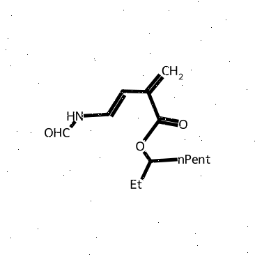 C=C(C=CNC=O)C(=O)OC(CC)CCCCC